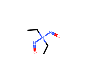 CC[N+](CC)(N=O)N=O